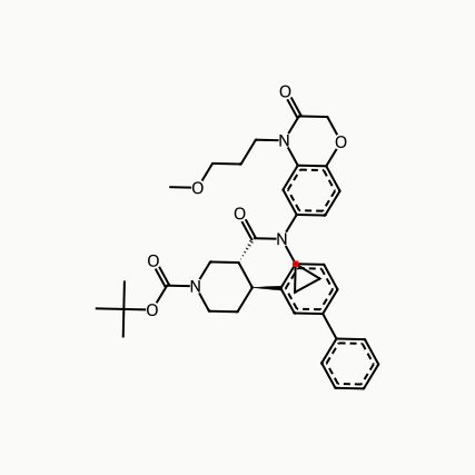 COCCCN1C(=O)COc2ccc(N(C(=O)[C@H]3CN(C(=O)OC(C)(C)C)CC[C@@H]3c3cccc(-c4ccccc4)c3)C3CC3)cc21